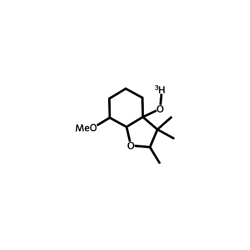 [3H]OC12CCCC(OC)C1OC(C)C2(C)C